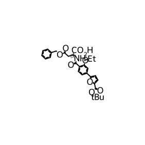 CCOc1cc(-c2ccc(C(=O)OC(C)(C)C)o2)ccc1C(=O)N[C@@H](CC(=O)OCc1ccccc1)C(=O)O